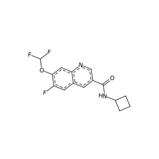 O=C(NC1CCC1)c1cnc2cc(OC(F)F)c(F)cc2c1